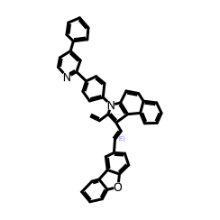 C=Cc1c(/C=C/c2ccc3oc4ccccc4c3c2)c2c3ccccc3ccc2n1-c1ccc(-c2cc(-c3ccccc3)ccn2)cc1